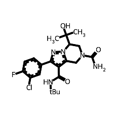 CC(C)(C)NC(=O)c1c(-c2ccc(F)c(Cl)c2)nn2c1CN(C(N)=O)CC2C(C)(C)O